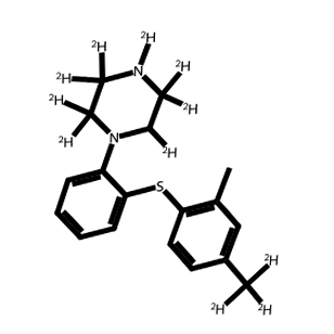 [2H]C1N(c2ccccc2Sc2ccc(C([2H])([2H])[2H])cc2C)C([2H])([2H])C([2H])([2H])N([2H])C1([2H])[2H]